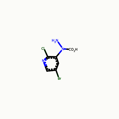 NN(C(=O)O)c1cc(Br)cnc1Cl